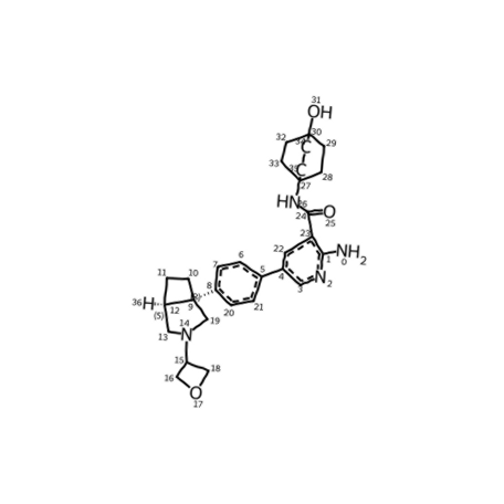 Nc1ncc(-c2ccc([C@@]34CC[C@@H]3CN(C3COC3)C4)cc2)cc1C(=O)NC12CCC(O)(CC1)CC2